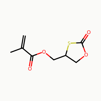 C=C(C)C(=O)OCC1COC(=O)S1